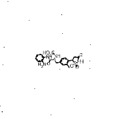 Cc1cc(C[C@H](NC(=O)O)C(=O)Nc2ccccc2N)ccc1C1CC(=O)NS1(=O)=O